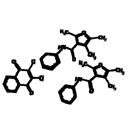 Cc1oc(C)c(C(=O)Nc2ccccc2)c1C.Cc1oc(C)c(C(=O)Nc2ccccc2)c1C.O=C1C(Cl)=C(Cl)C(=O)c2ccccc21